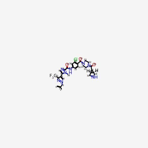 C=C(C)Cn1cc(-c2cnc(C(=O)Nc3ccc(C(=O)N4CCN(C(=O)C5[C@H]6CNC[C@@H]56)CC4)c(Cl)c3)n2C)c(C(F)(F)F)n1